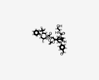 CC(=O)OC(CNC(=O)N1C[C@@H](C)CN(c2ccccc2)[C@@H](C(C)(C)C)C1)C12CN(C(=O)NCCO)C[C@@H](N(c3ccc(C=O)cc3)C1)C(C)(C)C2